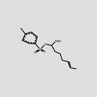 CC=CCCCC(NC)OS(=O)(=O)c1ccc(C)cc1